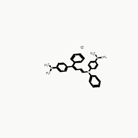 CN(C)c1ccc(C(=CC=C[C+](c2ccccc2)c2ccc(N(C)C)cc2)c2ccccc2)cc1.[Cl-]